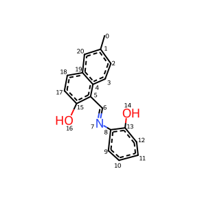 Cc1ccc2c(C=Nc3ccccc3O)c(O)ccc2c1